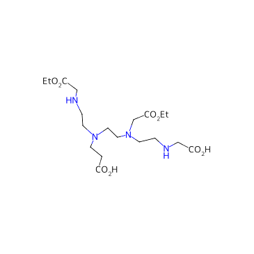 CCOC(=O)CNCCN(CCC(=O)O)CCN(CCNCC(=O)O)CC(=O)OCC